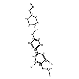 CCC[C@H]1CC[C@H](CCc2ccc(-c3cc(F)c(COC)c(F)c3)cc2)CC1